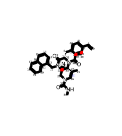 C=Cc1ccc(C[C@H]2C(=O)N(Cc3cccc4ccccc34)C[C@H](/C(C)=C\N(CC#N)C(=O)NC)N2C(=O)CC)cc1